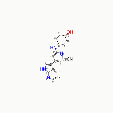 N#Cc1cc(-c2c[nH]c3ncccc23)cc(N[C@H]2CC[C@H](O)CC2)n1